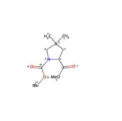 COC(=O)C1C[Si](C)(C)CN1C(=O)OC(C)(C)C